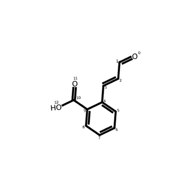 O=[C]C=Cc1ccccc1C(=O)O